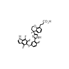 C[C@@]1(c2c[nH]c(-c3cc(Sc4c(F)c(F)c5[nH]ccc5c4F)ccc3F)n2)CCOc2c(CCC(=O)O)cccc21